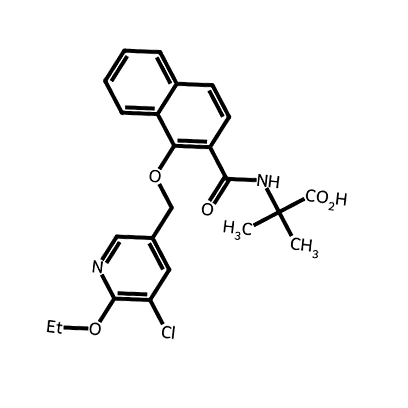 CCOc1ncc(COc2c(C(=O)NC(C)(C)C(=O)O)ccc3ccccc23)cc1Cl